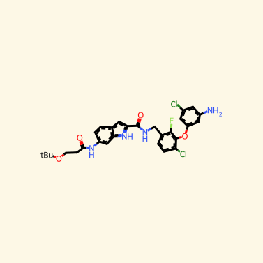 CC(C)(C)OCCC(=O)Nc1ccc2cc(C(=O)NCc3ccc(Cl)c(Oc4cc(N)cc(Cl)c4)c3F)[nH]c2c1